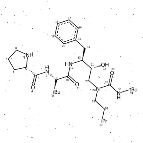 CC[C@H](C)[C@H](NC(=O)[C@@H]1CCCN1)C(=O)N[C@@H](Cc1ccccc1)[C@H](O)CN(CCC(C)C)C(=O)NC(C)(C)C